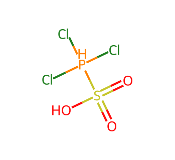 O=S(=O)(O)[PH](Cl)(Cl)Cl